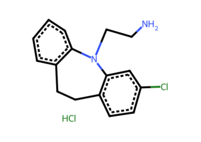 Cl.NCCN1c2ccccc2CCc2ccc(Cl)cc21